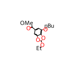 CCCCOc1cc(C(=O)OC)cc2c1OC(OCC)O2